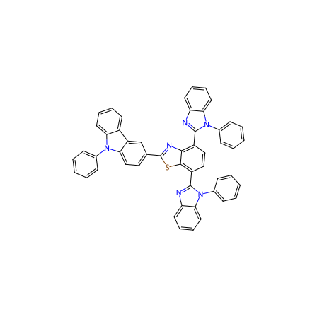 c1ccc(-n2c(-c3ccc(-c4nc5ccccc5n4-c4ccccc4)c4sc(-c5ccc6c(c5)c5ccccc5n6-c5ccccc5)nc34)nc3ccccc32)cc1